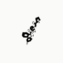 O=C(C[N+]12CCC(CC1)[C@@H](OC(=O)[C@H](Nc1ccc(F)cc1)c1ccccc1)C2)c1cccs1